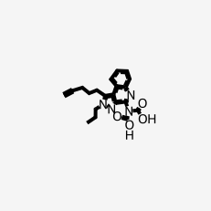 C#CCCCc1c2c(nn1CCC)c(N(C(=O)O)C(=O)O)nc1ccccc12